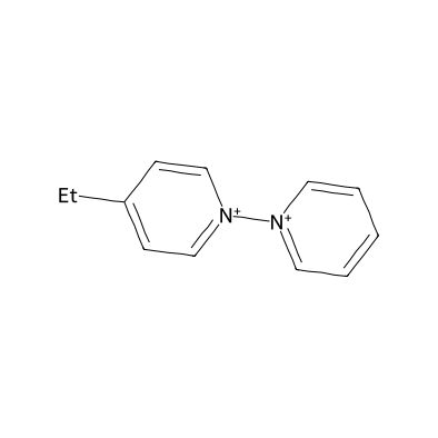 CCc1cc[n+](-[n+]2ccccc2)cc1